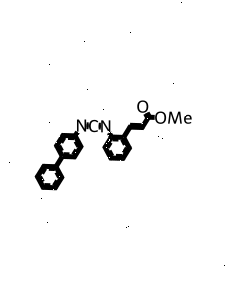 COC(=O)/C=C/c1ccccc1N=C=Nc1ccc(-c2ccccc2)cc1